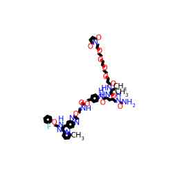 Cc1cccc(-c2nc(COc3ccccc3F)[nH]c2-c2ccc3ncc(OCCNC(=O)OCc4ccc(NC(=O)C(CCCNC(N)=O)NC(=O)C(NC(=O)CCOCCOCCOCCOCCN5C(=O)C=CC5=O)C(C)C)cc4)nc3c2)n1